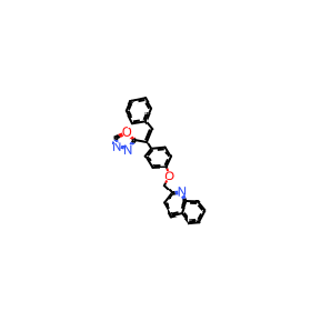 C(=C(c1ccc(OCc2ccc3ccccc3n2)cc1)c1nnco1)c1ccccc1